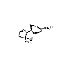 CCC1(C(F)(F)F)C=CC=CC1c1ccc(C(=O)O)cc1